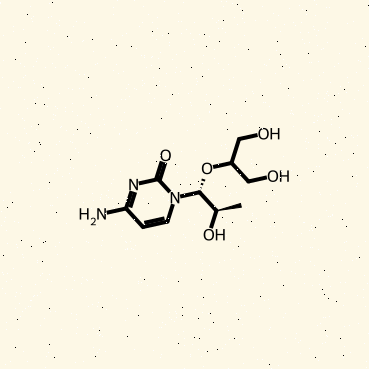 C[C@@H](O)[C@@H](OC(CO)CO)n1ccc(N)nc1=O